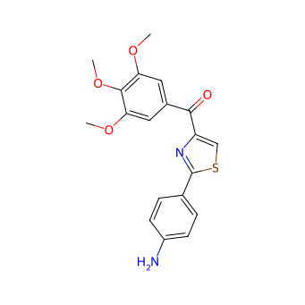 COc1cc(C(=O)c2csc(-c3ccc(N)cc3)n2)cc(OC)c1OC